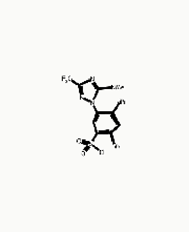 CNc1nc(C(F)(F)F)nn1-c1cc(S(=O)(=O)Cl)c(C(C)C)cc1C(C)C